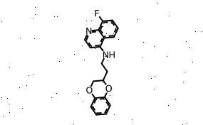 Fc1cccc2c(NCCC3COc4ccccc4O3)ccnc12